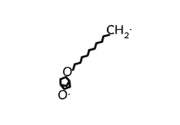 [CH2]CCCCCCCCCCCOC1CC2CC1CC2[O]